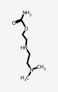 CN(C)CCNCCOC(N)=O